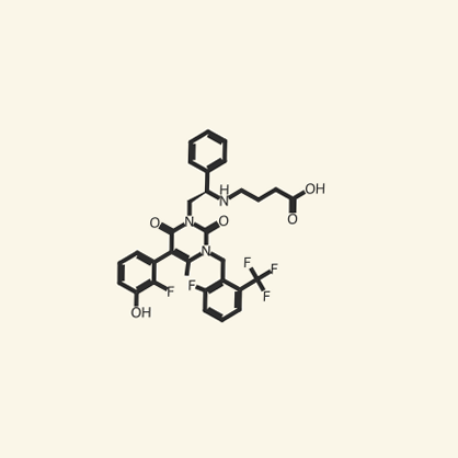 Cc1c(-c2cccc(O)c2F)c(=O)n(C[C@H](NCCCC(=O)O)c2ccccc2)c(=O)n1Cc1c(F)cccc1C(F)(F)F